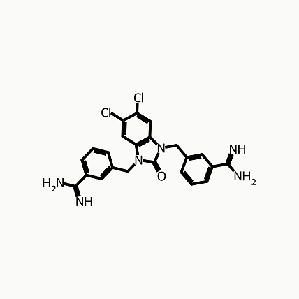 N=C(N)c1cccc(Cn2c(=O)n(Cc3cccc(C(=N)N)c3)c3cc(Cl)c(Cl)cc32)c1